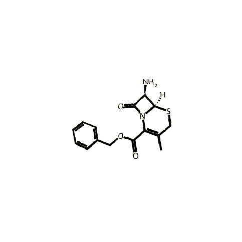 CC1=C(C(=O)OCc2ccccc2)N2C(=O)[C@@H](N)[C@H]2SC1